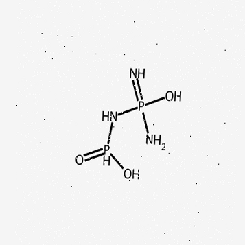 N=P(N)(O)N[PH](=O)O